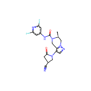 C[C@H]1Cn2ncc(N3CC(C#N)CC3=O)c2CN1C(=O)Nc1cc(F)nc(F)c1